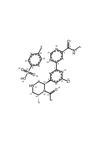 CNC(=O)c1cc(-c2cc([C@@H]3CNC[C@@H](C)N3C(C)=O)cc(Cl)n2)ncn1.Cc1ccc(S(=O)(=O)O)cc1